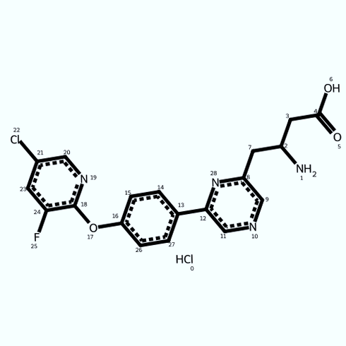 Cl.NC(CC(=O)O)Cc1cncc(-c2ccc(Oc3ncc(Cl)cc3F)cc2)n1